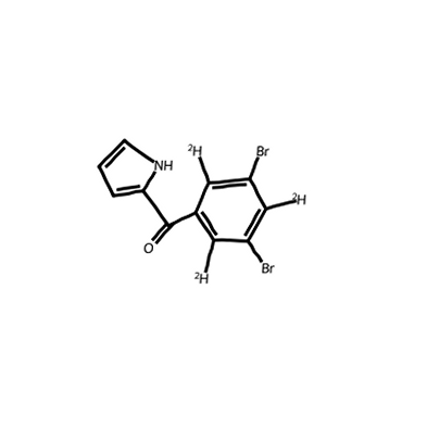 [2H]c1c(Br)c([2H])c(C(=O)c2ccc[nH]2)c([2H])c1Br